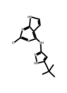 CC(C)(C)c1cc(Nc2nc(Cl)nc3[nH]ccc23)n[nH]1